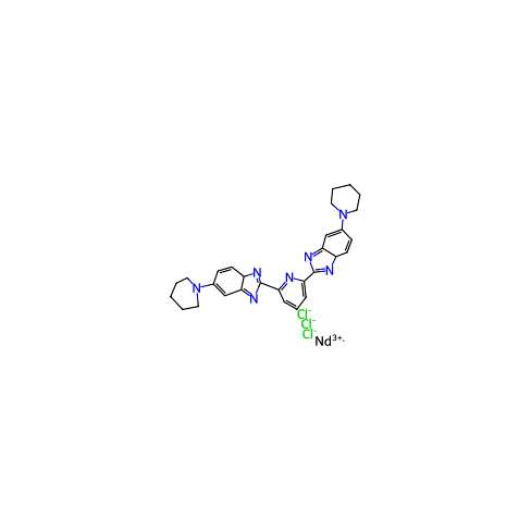 C1=CC2N=C(c3cccc(C4=NC5C=CC(N6CCCCC6)=CC5=N4)n3)N=C2C=C1N1CCCCC1.[Cl-].[Cl-].[Cl-].[Nd+3]